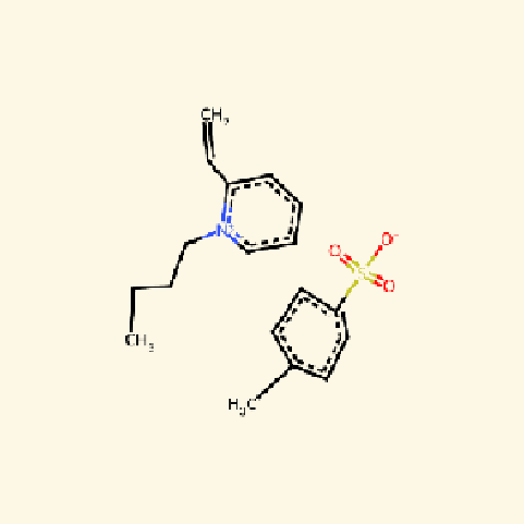 C=Cc1cccc[n+]1CCCC.Cc1ccc(S(=O)(=O)[O-])cc1